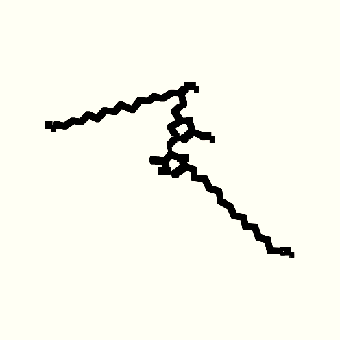 C=C(CCCCCCCCCCCCCCC)OCC(CSC[C@H](NC(=O)CCCCCCCCCCCCCCC)C(=O)O)OC(C)=O